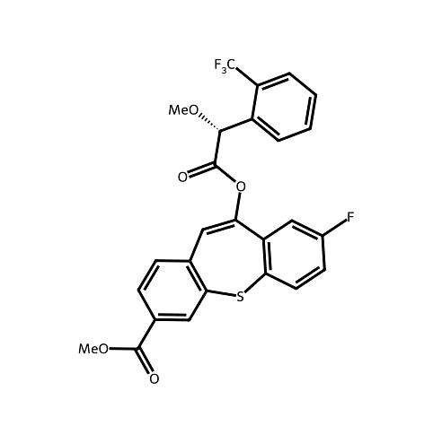 COC(=O)c1ccc2c(c1)Sc1ccc(F)cc1C(OC(=O)[C@H](OC)c1ccccc1C(F)(F)F)=C2